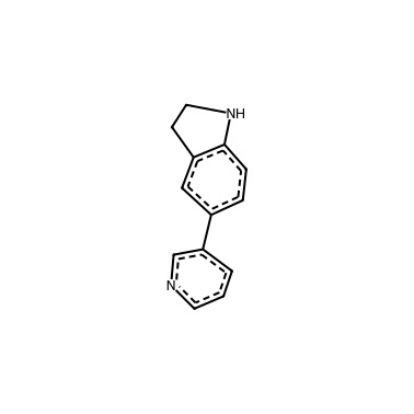 c1cncc(-c2ccc3c(c2)CCN3)c1